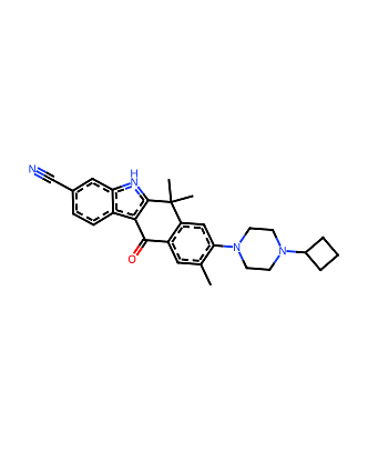 Cc1cc2c(cc1N1CCN(C3CCC3)CC1)C(C)(C)c1[nH]c3cc(C#N)ccc3c1C2=O